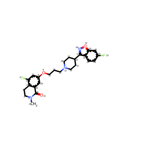 CN1CCc2c(F)cc(OCCCN3CCC(c4noc5cc(F)ccc45)CC3)cc2C1=O